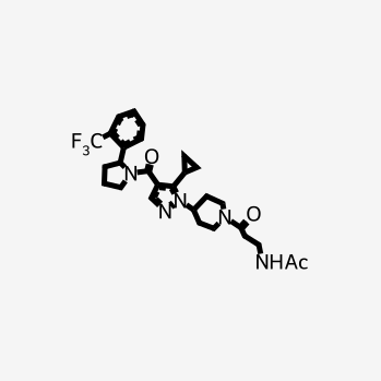 CC(=O)NCCC(=O)N1CCC(n2ncc(C(=O)N3CCCC3c3ccccc3C(F)(F)F)c2C2CC2)CC1